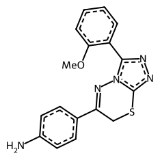 COc1ccccc1-c1nnc2n1N=C(c1ccc(N)cc1)CS2